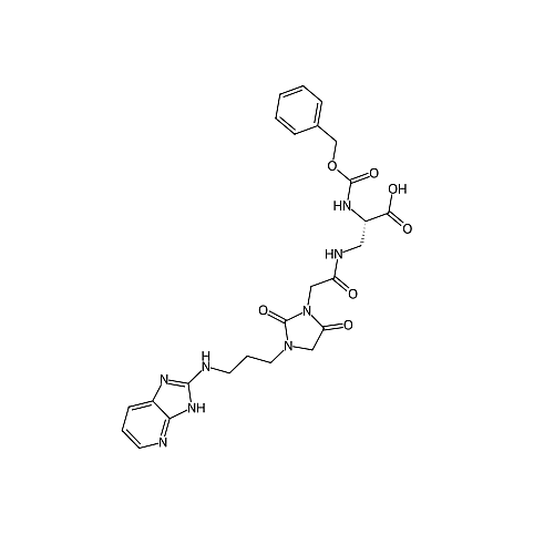 O=C(CN1C(=O)CN(CCCNc2nc3cccnc3[nH]2)C1=O)NC[C@H](NC(=O)OCc1ccccc1)C(=O)O